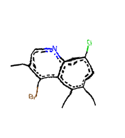 Cc1cc(Cl)c2ncc(C)c(Br)c2c1C